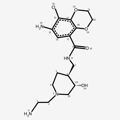 NCCN1CC[C@@H](CNC(=O)c2cc(N)c(Cl)c3c2OCCO3)[C@H](O)C1